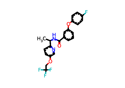 CC(NC(=O)c1cccc(Oc2ccc(F)cc2)c1)c1ccc(OCC(F)(F)F)cn1